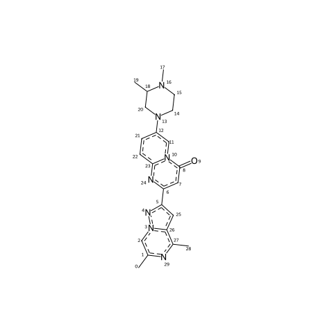 Cc1cn2nc(-c3cc(=O)n4cc(N5CCN(C)C(C)C5)ccc4n3)cc2c(C)n1